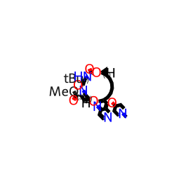 COC(=O)[C@@H]1C[C@@H]2CN1C(=O)[C@H](C(C)(C)C)NC(=O)OC1C[C@@H]1CCCCCc1c(nc3ccncc3c1OC1CCN(C)CC1)O2